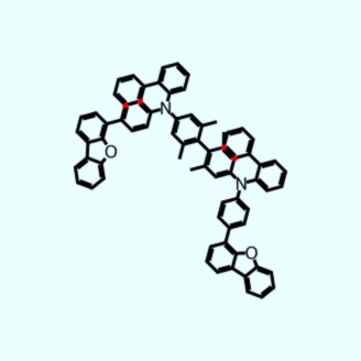 Cc1cc(N(c2ccc(-c3cccc4c3oc3ccccc34)cc2)c2ccccc2-c2ccccc2)cc(C)c1-c1c(C)cc(N(c2ccc(-c3cccc4c3oc3ccccc34)cc2)c2ccccc2-c2ccccc2)cc1C